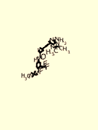 Cc1nc2c(C#Cc3cncc(C(=O)Nc4ccc(CN5CC6(CN(C)C6)C5)c(C(F)(F)F)c4)c3)cnc(N)c2nc1C